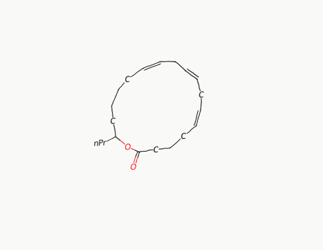 CCCC1CCCC/C=C\C/C=C\C/C=C\CCCC(=O)O1